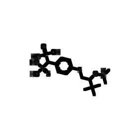 C[SiH](C)OC(CSc1ccc(C(P(=O)(O)O)P(O)(O)=S)cc1)C(C)(C)C